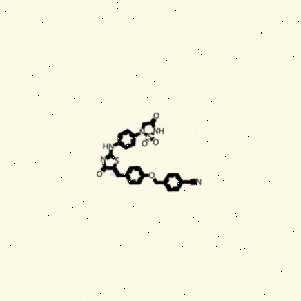 N#Cc1ccc(COc2ccc(/C=C3\SC(Nc4ccc(N5CC(=O)NS5(=O)=O)cc4)=NC3=O)cc2)cc1